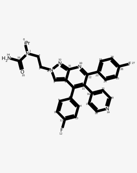 CC(C)N(CCn1cc2c(-c3ccc(F)cc3)c(-c3ccncc3)c(-c3ccc(F)cc3)nc2n1)C(N)=O